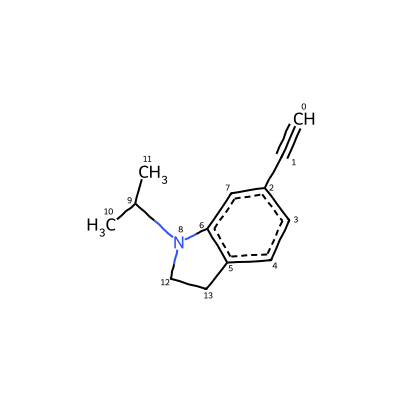 C#Cc1ccc2c(c1)N(C(C)C)CC2